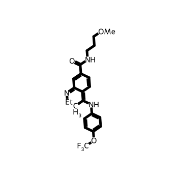 CC/N=C1/C=C(C(=O)NCCCOC)C=C/C1=C(/C)Nc1ccc(OC(F)(F)F)cc1